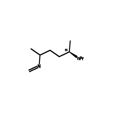 C=NC(C)CC[C@@H](C)CCC